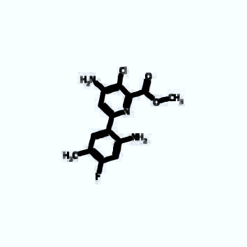 COC(=O)c1nc(-c2cc(C)c(F)cc2N)cc(N)c1Cl